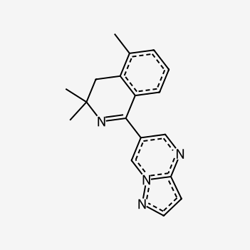 Cc1cccc2c1CC(C)(C)N=C2c1cnc2ccnn2c1